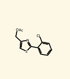 CC(=O)OCc1csc(-c2ccccc2Cl)n1